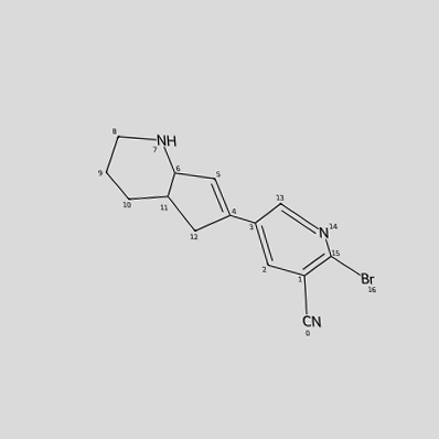 N#Cc1cc(C2=CC3NCCCC3C2)cnc1Br